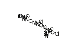 CCC(C)n1ncn(-c2ccc(N3CCN(c4ccc(OC[C@@H]5CO[C@@](Cn6nccn6)(c6ccc(Cl)cc6Cl)O5)cc4Cl)CC3)cc2)c1=O